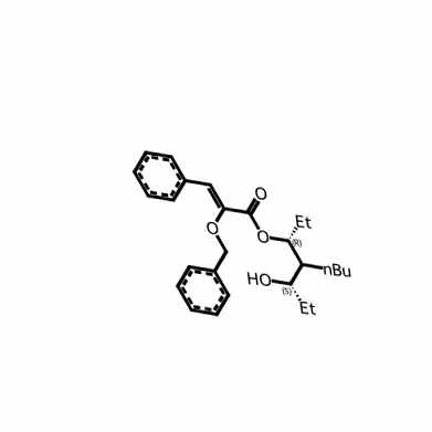 CCCCC([C@@H](O)CC)[C@@H](CC)OC(=O)C(=Cc1ccccc1)OCc1ccccc1